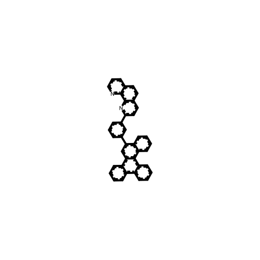 c1cc(-c2ccc3ccc4cccnc4c3n2)cc(-c2cc3c4ccccc4c4ccccc4c3c3ccccc23)c1